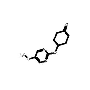 O=C1CCC(Oc2ncc(OC(F)(F)F)cn2)CC1